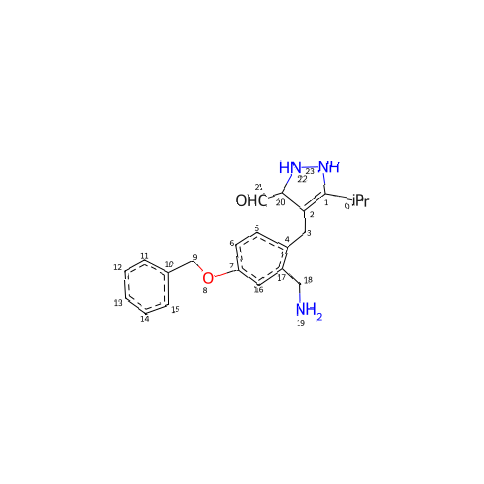 CC(C)C1=C(Cc2ccc(OCc3ccccc3)cc2CN)C(C=O)NN1